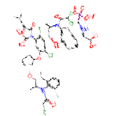 CC(C)=C1OC(=O)N(c2cc(OC3CCCC3)c(Cl)cc2F)C1=O.CC1COc2ccccc2N1C(=O)C(Cl)Cl.CCc1cccc(C)c1N(C(=O)CCl)C(C)COC.O=C(O)CNCP(=O)(O)O